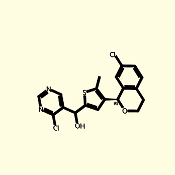 Cc1sc(C(O)c2cncnc2Cl)cc1[C@@H]1OCCc2ccc(Cl)cc21